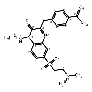 CN(C)CCS(=O)(=O)c1ccc2c(c1)nc(Cc1ccc(C(=N)N)cc1)c(=O)n2C.Cl.Cl